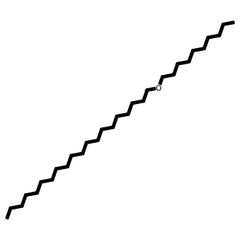 CCCCCCCCCCCCCCCCCCC[CH]OCCCCCCCCCC